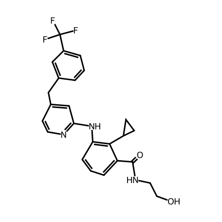 O=C(NCCO)c1cccc(Nc2cc(Cc3cccc(C(F)(F)F)c3)ccn2)c1C1CC1